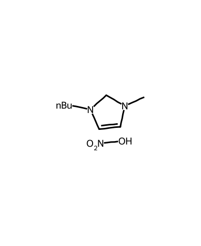 CCCCN1C=CN(C)C1.O=[N+]([O-])O